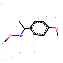 CONC(C)c1ccc(OC)cc1